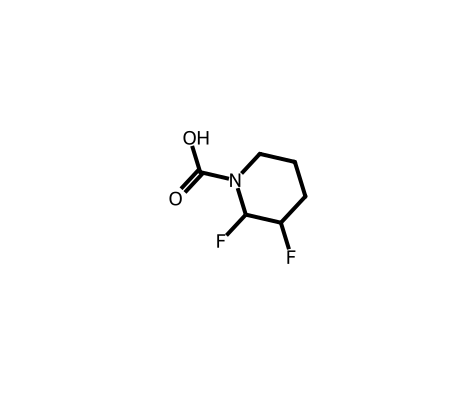 O=C(O)N1CCCC(F)C1F